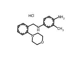 Cc1cc(NCc2ccccc2N2CCOCC2)ccc1N.Cl